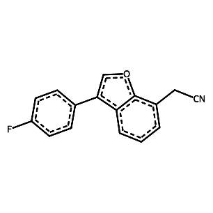 N#CCc1cccc2c(-c3ccc(F)cc3)coc12